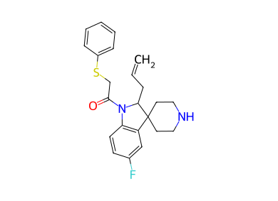 C=CCC1N(C(=O)CSc2ccccc2)c2ccc(F)cc2C12CCNCC2